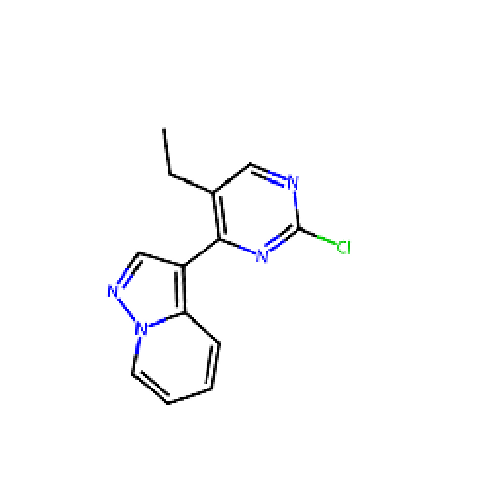 CCc1cnc(Cl)nc1-c1cnn2ccccc12